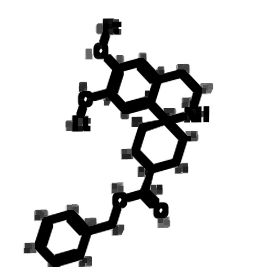 CCOc1cc2c(cc1OCC)[C@]1(CC[C@H](C(=O)OCc3ccccc3)CC1)NCC2